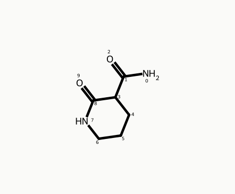 NC(=O)C1CCCNC1=O